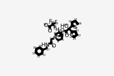 O=C(C[N+]12CCC(CC1)[C@@H](OC(=O)C(O)(c1cccs1)c1cccs1)C2)NCc1ccccc1.O=C([O-])C(F)(F)F